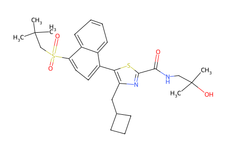 CC(C)(C)CS(=O)(=O)c1ccc(-c2sc(C(=O)NCC(C)(C)O)nc2CC2CCC2)c2ccccc12